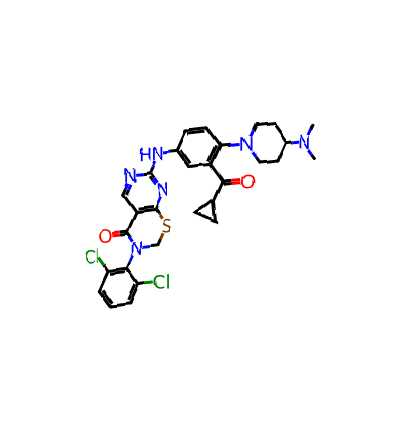 CN(C)C1CCN(c2ccc(Nc3ncc4c(n3)SCN(c3c(Cl)cccc3Cl)C4=O)cc2C(=O)C2CC2)CC1